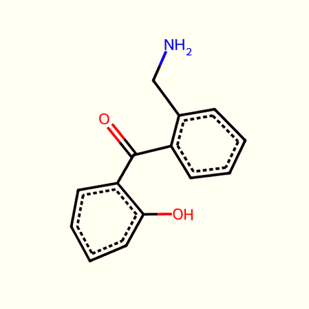 NCc1ccccc1C(=O)c1ccccc1O